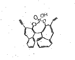 C#Cc1cc2ccccc2c2c1OP(=O)(O)Oc1c(C#C)cc3ccccc3c1-2